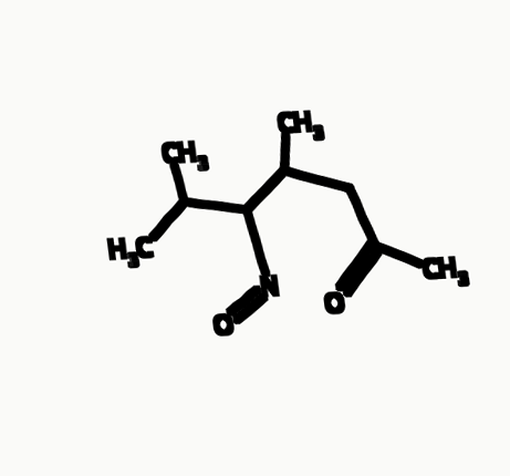 CC(=O)CC(C)C(N=O)C(C)C